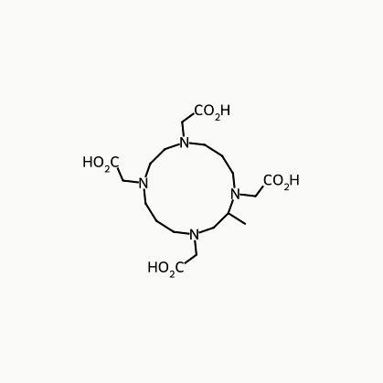 CC1CN(CC(=O)O)CCCN(CC(=O)O)CCN(CC(=O)O)CCCN1CC(=O)O